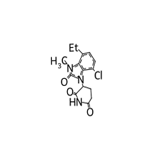 CCc1ccc(Cl)c2c1n(C)c(=O)n2C1CCC(=O)NC1=O